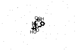 CNC(=O)NCc1noc([C@H](CCCC2CCCCC2)C(C(=O)O)C(C)(C)C)n1